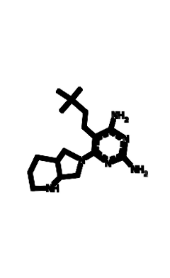 CC(C)(C)CCc1c(N)nc(N)nc1N1CC2CCCNC2C1